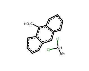 CCC[SiH](Cl)Cl.O=C(O)c1c2ccccc2cc2ccccc12